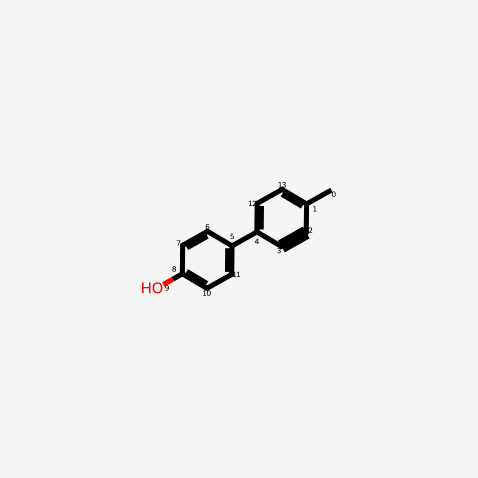 Cc1c#cc(-c2ccc(O)cc2)cc1